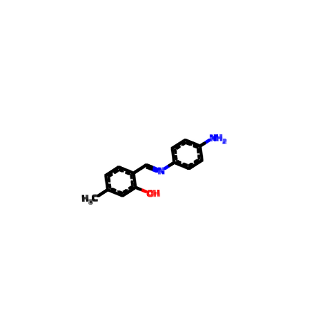 Cc1ccc(/C=N/c2ccc(N)cc2)c(O)c1